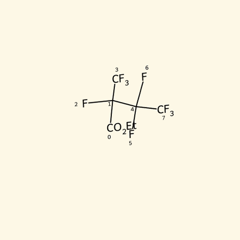 CCOC(=O)C(F)(C(F)(F)F)C(F)(F)C(F)(F)F